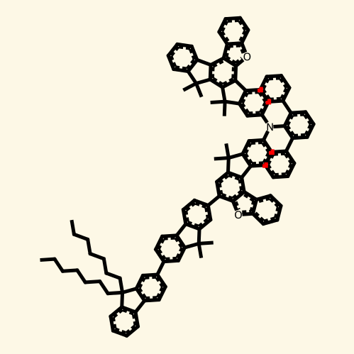 CCCCCCCC1(CCCCCCC)c2ccccc2-c2ccc(-c3ccc4c(c3)C(C)(C)c3cc(-c5cc6c(c7c5oc5ccccc57)-c5ccc(N(c7ccc8c(c7)C(C)(C)c7c9c(c%10c(oc%11ccccc%11%10)c7-8)-c7ccccc7C9(C)C)c7c(-c8ccccc8)cccc7-c7ccccc7)cc5C6(C)C)ccc3-4)cc21